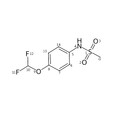 CS(=O)(=O)Nc1ccc(OC(F)F)cc1